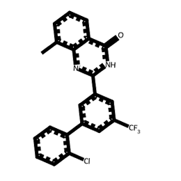 Cc1cccc2c(=O)[nH]c(-c3cc(-c4ccccc4Cl)cc(C(F)(F)F)c3)nc12